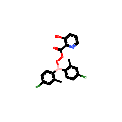 Cc1cc(Cl)ccc1B(OOC(=O)c1ncccc1O)c1ccc(Cl)cc1C